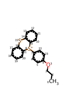 CCCOc1ccc([S+]2c3ccccc3Sc3ccccc32)cc1